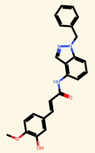 COc1ccc(C=CC(=O)Nc2cccc3c2cnn3Cc2ccccc2)cc1O